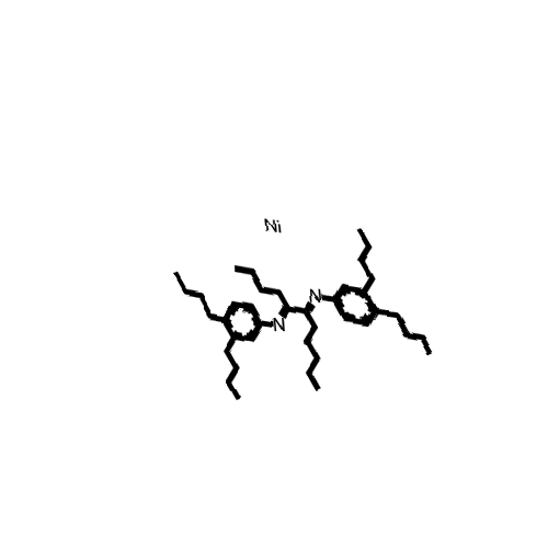 CCCCCC(=N\c1ccc(CCCC)c(CCCC)c1)/C(CCCC)=N/c1ccc(CCCC)c(CCCC)c1.[Ni]